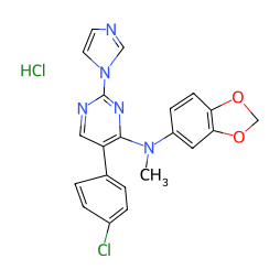 CN(c1ccc2c(c1)OCO2)c1nc(-n2ccnc2)ncc1-c1ccc(Cl)cc1.Cl